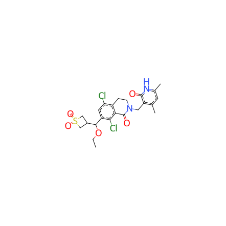 CCOC(c1cc(Cl)c2c(c1Cl)C(=O)N(Cc1c(C)cc(C)[nH]c1=O)CC2)C1CS(=O)(=O)C1